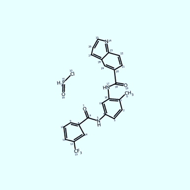 Cc1ccc(NC(=O)c2cccc(C(F)(F)F)c2)cc1NC(=O)c1ccc2ncccc2c1.O=[PH2]Cl